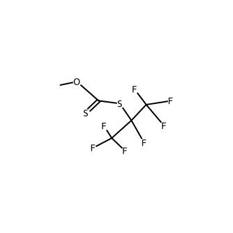 COC(=S)SC(F)(C(F)(F)F)C(F)(F)F